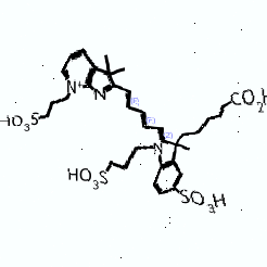 CC1(C)C(/C=C/C=C/C=C2\N(CCCS(=O)(=O)O)c3ccc(S(=O)(=O)O)cc3C2(C)CCCCCC(=O)O)=Nc2c1ccc[n+]2CCCS(=O)(=O)O